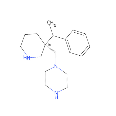 CC(c1ccccc1)[C@]1(CN2CCNCC2)CCCNC1